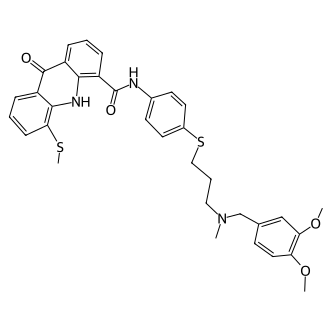 COc1ccc(CN(C)CCCSc2ccc(NC(=O)c3cccc4c(=O)c5cccc(SC)c5[nH]c34)cc2)cc1OC